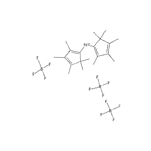 CC1=C(C)C(C)(C)[C]([Fe+3][C]2=C(C)C(C)=C(C)C2(C)C)=C1C.F[B-](F)(F)F.F[B-](F)(F)F.F[B-](F)(F)F